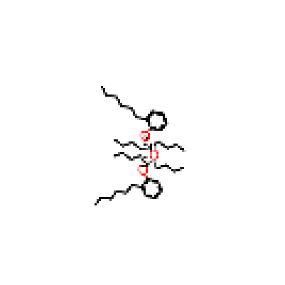 CCCCCCc1ccccc1[O][Sn]([CH2]CCC)([CH2]CCC)[O][Sn]([CH2]CCC)([CH2]CCC)[O]c1ccccc1CCCCCC